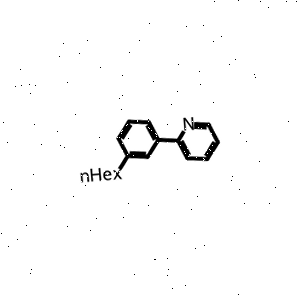 CCCCCCc1cccc(-c2ccccn2)c1